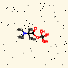 CCCCN(CCCC)C(CCCC)(CCCC)C(=O)O[Si](O)(O)O